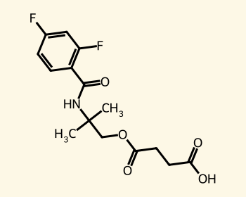 CC(C)(COC(=O)CCC(=O)O)NC(=O)c1ccc(F)cc1F